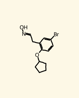 ON=CCc1cc(Br)ccc1OC1CCCC1